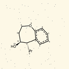 CC(C)[C@H]1c2ccccc2OCC[C@@H]1O